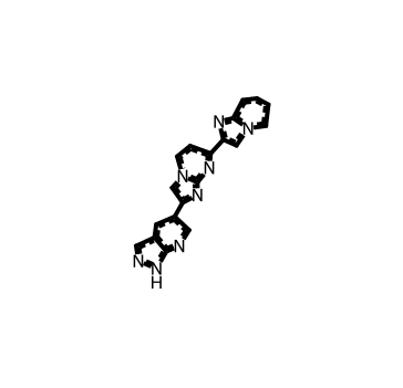 c1ccn2cc(-c3ccn4cc(-c5cnc6[nH]ncc6c5)nc4n3)nc2c1